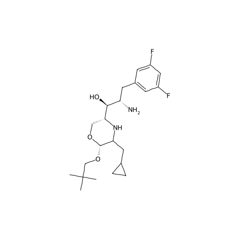 CC(C)(C)CO[C@@H]1OC[C@H]([C@@H](O)[C@@H](N)Cc2cc(F)cc(F)c2)NC1CC1CC1